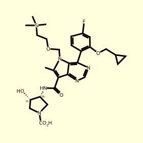 Cc1c(C(=O)N[C@@H]2CN(C(=O)O)C[C@@H]2O)c2ncnc(-c3ccc(F)cc3OCC3CC3)c2n1COCC[Si](C)(C)C